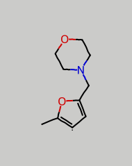 Cc1[c]cc(CN2CCOCC2)o1